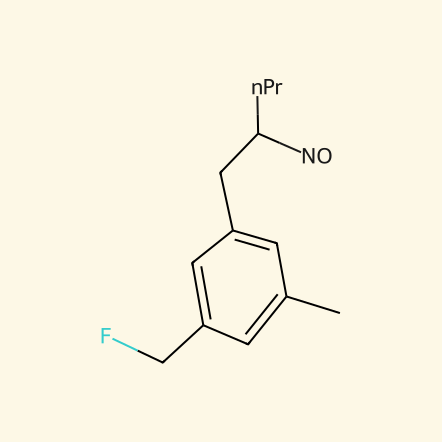 CCCC(Cc1cc(C)cc(CF)c1)N=O